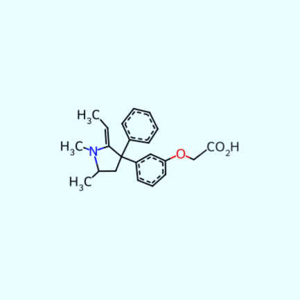 CC=C1N(C)C(C)CC1(c1ccccc1)c1cccc(OCC(=O)O)c1